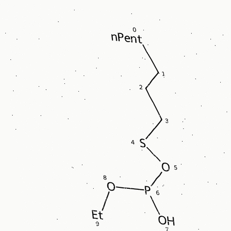 CCCCCCCCSOP(O)OCC